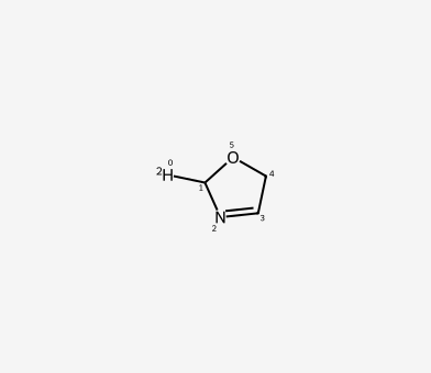 [2H]C1N=CCO1